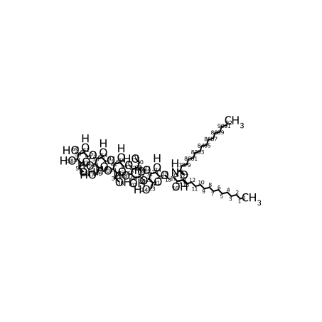 CCCCCCCCCCCCC/C=C/[C@@H](O)[C@H](CO[C@@H]1OC(CO)[C@@H](O[C@@H]2OC(CO)[C@H](O[C@@H]3OC(CO)[C@H](O)[C@H](O[C@H]4OC(CO)[C@H](O)[C@H](O[C@H]5OC(CO)[C@H](O)[C@H](O)C5O)C4O)C3O)[C@H](O)C2O)[C@H](O)C1O)NC(=O)CCCCCCCCCCCCCCC